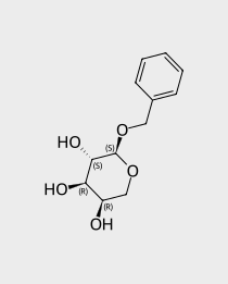 O[C@@H]1[C@@H](OCc2ccccc2)OC[C@@H](O)[C@H]1O